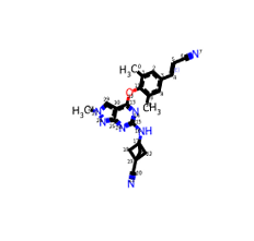 Cc1cc(/C=C/C#N)cc(C)c1Oc1nc(NC23CC(C#N)(C2)C3)nc2nn(C)cc12